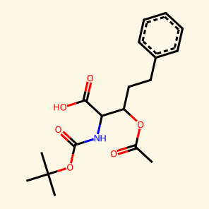 CC(=O)OC(CCc1ccccc1)C(NC(=O)OC(C)(C)C)C(=O)O